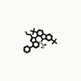 CCCC1=Cc2c(-c3ccccc3)cccc2C1c1c(C(C)(C)C)ccc2c1[CH]([Zr][SiH](C)C)c1cc(C(C)(C)C)ccc1-2